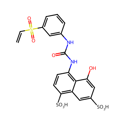 C=CS(=O)(=O)c1cccc(NC(=O)Nc2ccc(S(=O)(=O)O)c3cc(S(=O)(=O)O)cc(O)c23)c1